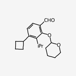 CC(C)c1c(C2CCC2)ccc(C=O)c1OC1CCCCO1